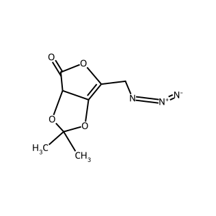 CC1(C)OC2=C(CN=[N+]=[N-])OC(=O)C2O1